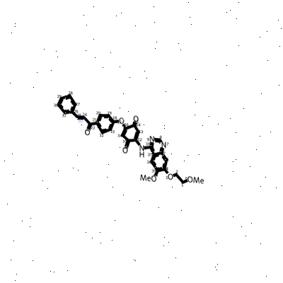 COCCOc1cc2ncnc(NC3=CC(=O)C(Oc4ccc(C(=O)/C=C/c5ccccc5)cc4)=CC3=O)c2cc1OC